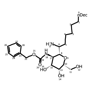 CCCCCCCCCCCCCCCC(N)[C@@H]1O[C@H](CO)[C@H](O)[C@H](O)[C@H]1NC(=O)OCc1ccccc1